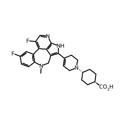 CN1Cc2c(C3=CCN([C@H]4CC[C@H](C(=O)O)CC4)CC3)[nH]c3ncc(F)c(c23)-c2cc(F)ccc21